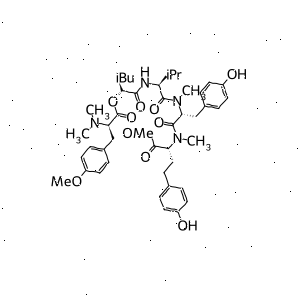 CC[C@H](C)[C@@H](OC(=O)[C@@H](Cc1ccc(OC)cc1)N(C)C)C(=O)N[C@H](C(=O)N(C)[C@H](Cc1ccc(O)cc1)C(=O)N(C)[C@H](CCc1ccc(O)cc1)C(=O)OC)C(C)C